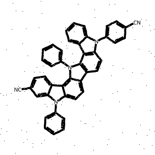 N#Cc1ccc(-n2c3ccccc3c3c2ccc2c4ccc5c(c6ccc(C#N)cc6n5-c5ccccc5)c4n(-c4ccccc4)c23)cc1